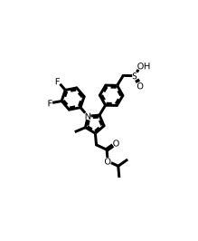 Cc1c(CC(=O)OC(C)C)cc(-c2ccc(CS(=O)O)cc2)n1-c1ccc(F)c(F)c1